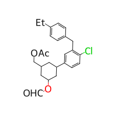 CCc1ccc(Cc2cc(C3CC(COC(C)=O)CC(OC=O)C3)ccc2Cl)cc1